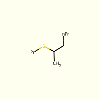 CCCCC(C)SC(C)C